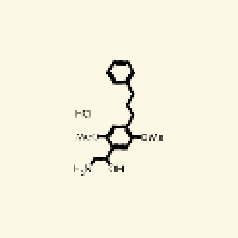 COc1cc(C(O)CN)c(OC)cc1CCCc1ccccc1.Cl